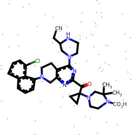 CC1(C)CN(C2(C(=O)c3nc4c(c(N5CCNC(CC#N)C5)n3)CCN(c3cccc5cccc(Cl)c35)C4)CC2)CCN1C(=O)O